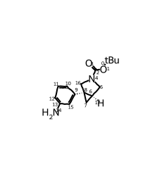 CC(C)(C)OC(=O)N1C[C@H]2C[C@@]2(c2[c]ccc(N)c2)C1